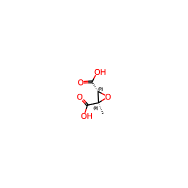 C[C@@]1(C(=O)O)O[C@H]1C(=O)O